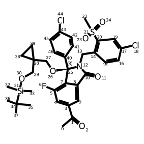 CC(=O)c1cc(F)c2c(c1)C(=O)N(Cc1ccc(Cl)cc1S(C)(=O)=O)[C@@]2(OCC1(CO[Si](C)(C)C(C)(C)C)CC1)c1ccc(Cl)cc1